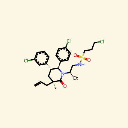 C=CC[C@@]1(C)C[C@H](c2cccc(Cl)c2)[C@@H](c2ccc(Cl)cc2)N([C@@H](CC)CNS(=O)(=O)CCCCl)C1=O